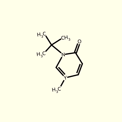 [CH3][Y]1=[CH]N(C(C)(C)C)C(=O)C=[CH]1